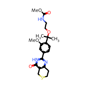 COC(=O)NCCOC(C)(C)c1ccc(-c2nc3c(c(=O)[nH]2)CSCC3)cc1OC